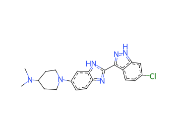 CN(C)C1CCN(c2ccc3nc(-c4n[nH]c5cc(Cl)ccc45)[nH]c3c2)CC1